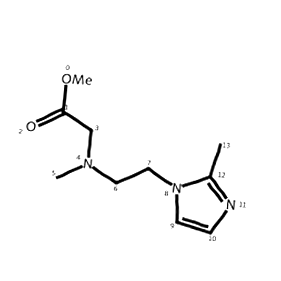 COC(=O)CN(C)CCn1ccnc1C